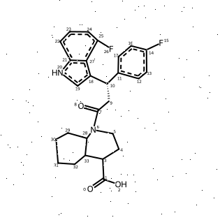 O=C(O)C1CCN(C(=O)C[C@@H](c2ccc(F)cc2)c2c[nH]c3cccc(F)c23)C2CCCCC12